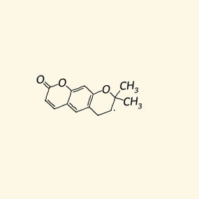 CC1(C)[CH]Cc2cc3ccc(=O)oc3cc2O1